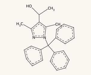 Cc1nn(C(c2ccccc2)(c2ccccc2)c2ccccc2)c(C)c1C(C)O